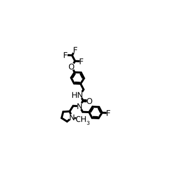 CN1CCCC1CN(Cc1ccc(F)cc1)C(=O)NCc1ccc(OC(F)C(F)F)cc1